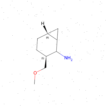 COC[C@H]1CC[C@@H]2CC2C1N